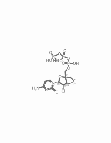 Nc1ccn([C@@H]2O[C@](CCl)(COP(=O)(O)OP(=O)(O)OP(=O)(O)O)[C@@H](O)[C@H]2Cl)c(=O)n1